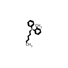 CCCCCCP(c1ccccc1)c1ccccc1C